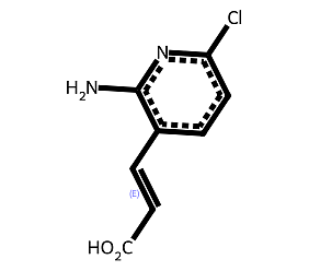 Nc1nc(Cl)ccc1/C=C/C(=O)O